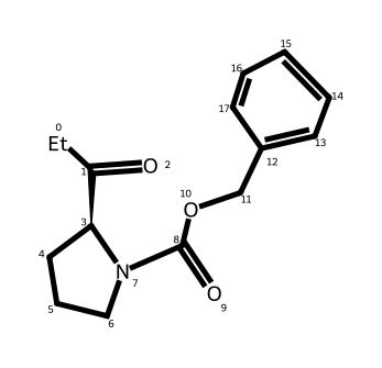 CCC(=O)[C@@H]1CCCN1C(=O)OCc1ccccc1